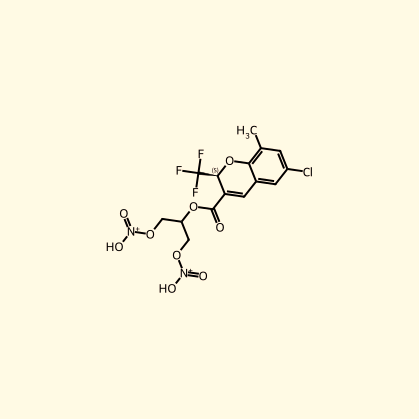 Cc1cc(Cl)cc2c1O[C@H](C(F)(F)F)C(C(=O)OC(CO[N+](=O)O)CO[N+](=O)O)=C2